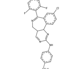 O=C(O)c1ccc(NC2=NC3c4ccc(Cl)cc4C(c4c(F)cccc4F)=NCC3C=N2)cc1